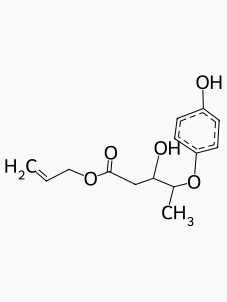 C=CCOC(=O)CC(O)C(C)Oc1ccc(O)cc1